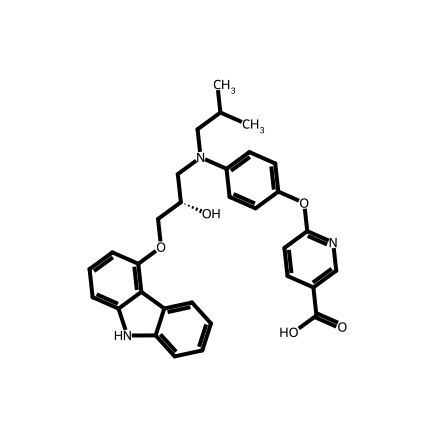 CC(C)CN(C[C@H](O)COc1cccc2[nH]c3ccccc3c12)c1ccc(Oc2ccc(C(=O)O)cn2)cc1